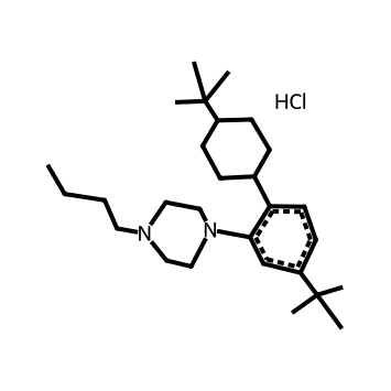 CCCCN1CCN(c2cc(C(C)(C)C)ccc2C2CCC(C(C)(C)C)CC2)CC1.Cl